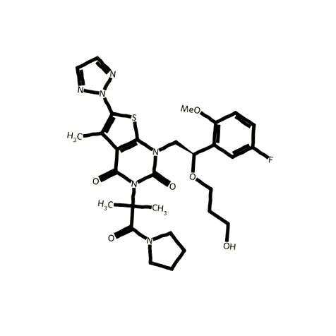 COc1ccc(F)cc1[C@H](Cn1c(=O)n(C(C)(C)C(=O)N2CCCC2)c(=O)c2c(C)c(-n3nccn3)sc21)OCCCO